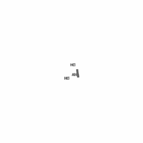 CC.Cl.Cl.[AlH3]